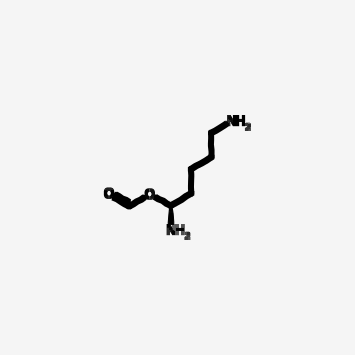 NCCCC[C@@H](N)OC=O